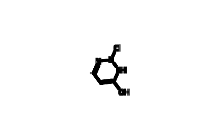 OC1=C[C]=NN(Cl)N1